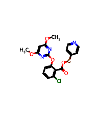 COc1cc(OC)nc(Oc2cccc(Cl)c2C(=O)OSc2ccncc2)n1